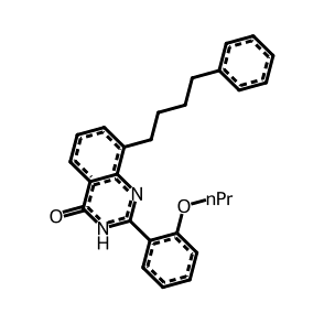 CCCOc1ccccc1-c1nc2c(CCCCc3ccccc3)cccc2c(=O)[nH]1